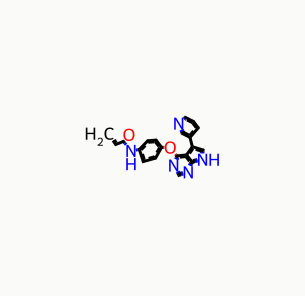 C=CC(=O)Nc1ccc(Oc2ncnc3[nH]cc(-c4cccnc4)c23)cc1